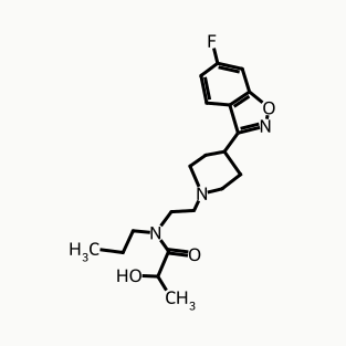 CCCN(CCN1CCC(c2noc3cc(F)ccc23)CC1)C(=O)C(C)O